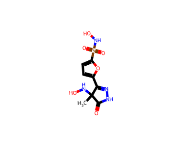 CC1(NO)C(=O)NN=C1c1ccc(S(=O)(=O)NO)o1